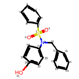 O=S(=O)(c1ccccc1)N(Cc1ccccc1)c1ccc(O)cc1